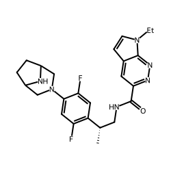 CCn1ccc2cc(C(=O)NC[C@H](C)c3cc(F)c(N4CC5CCC(C4)N5)cc3F)nnc21